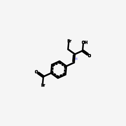 O=C(O)/C(=C/c1ccc(C(=O)Br)cc1)CBr